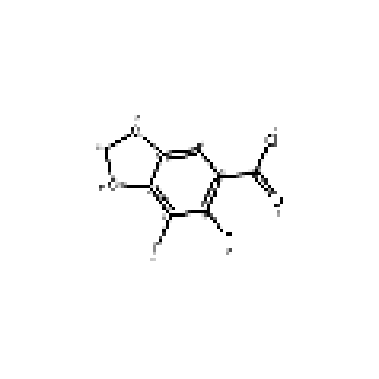 O=C(Cl)c1cc2c(c(F)c1F)OCO2